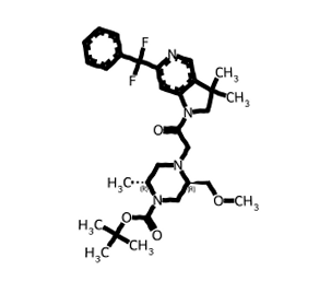 COC[C@H]1CN(C(=O)OC(C)(C)C)[C@H](C)CN1CC(=O)N1CC(C)(C)c2cnc(C(F)(F)c3ccccc3)cc21